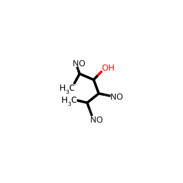 CC(N=O)C(O)C(N=O)C(C)N=O